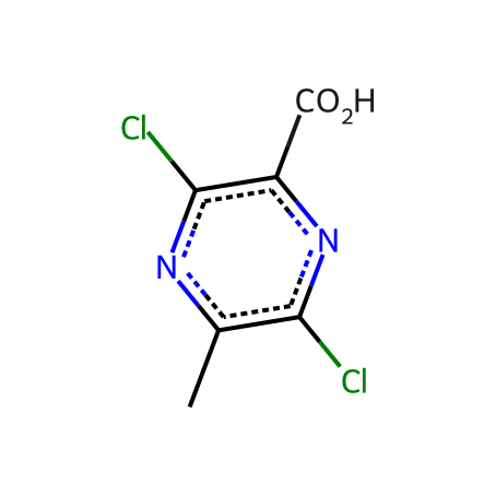 Cc1nc(Cl)c(C(=O)O)nc1Cl